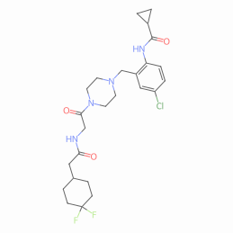 O=C(CC1CCC(F)(F)CC1)NCC(=O)N1CCN(Cc2cc(Cl)ccc2NC(=O)C2CC2)CC1